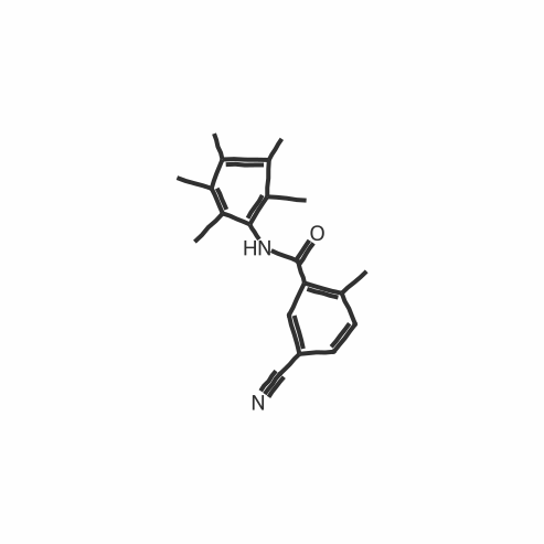 Cc1ccc(C#N)cc1C(=O)Nc1c(C)c(C)c(C)c(C)c1C